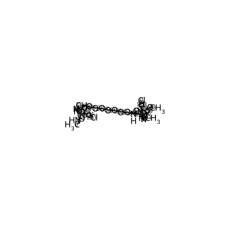 CCNC(=O)C[C@@H]1N=C(c2ccc(Cl)cc2)c2cc(OCCOCCOCCOCCOCCOCCOCCNC(=O)C[C@@H]3N=C(c4ccc(Cl)cc4)c4cc(OC)ccc4-n4c(C)nnc43)ccc2-n2c(C)nnc21